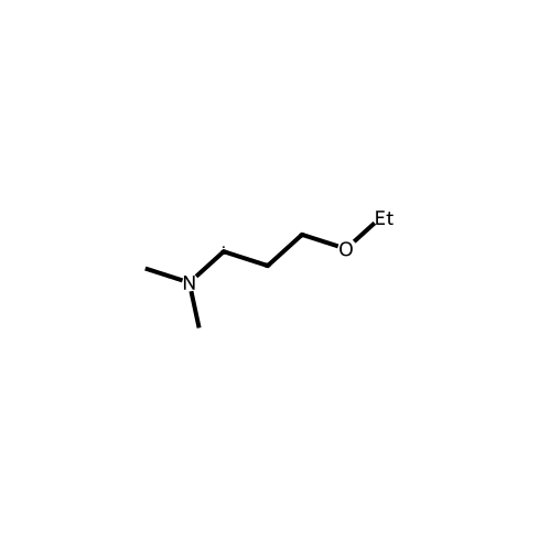 CCOCC[CH]N(C)C